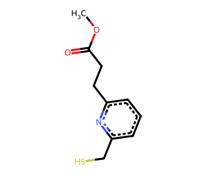 COC(=O)CCc1cccc(CS)n1